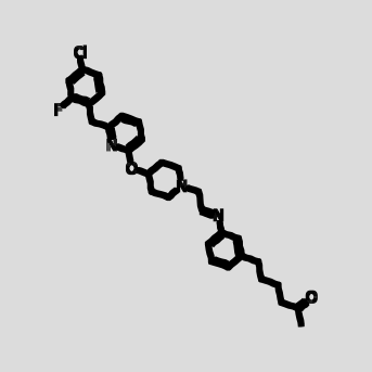 CC(=O)CCCCc1cccc(/N=C/CN2CCC(Oc3cccc(Cc4ccc(Cl)cc4F)n3)CC2)c1